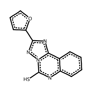 Sc1nc2ccccc2c2nc(-c3ccco3)nn12